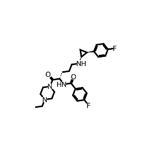 CCN1CCN(C(=O)[C@H](CCCN[C@@H]2C[C@H]2c2ccc(F)cc2)NC(=O)c2ccc(F)cc2)CC1